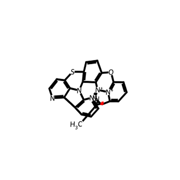 Cc1cc2n(n1)[N+]13c4c(ccc5c4-n4c6c(ccnc6c6ccc[n+]1c64)S5)Oc1cccc-2[n+]13